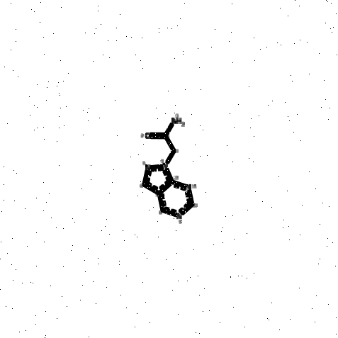 NC(=O)Cn1ncc2cncnc21